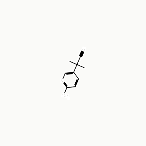 CC(C)(C#N)c1ccc(N)nc1